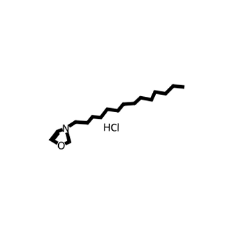 CCCCCCCCCCCCCCN1C=COC1.Cl